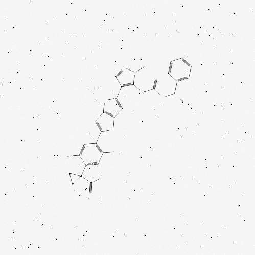 C[C@@H](OC(=O)Nc1c(-c2cc3sc(-c4cc(Cl)c(C5(C(=O)O)CC5)cc4F)cc3s2)cnn1C)c1ccccc1